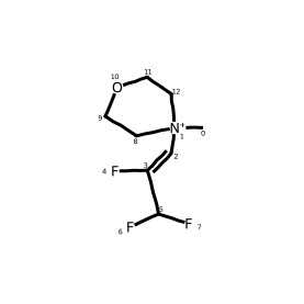 C[N+]1(C=C(F)C(F)F)CCOCC1